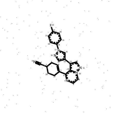 N#CC1CC=C(c2nccn3ncc(-c4cnn(-c5ccc(F)cc5)c4)c23)CC1